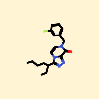 CCCCC(CC)c1nnc2c(=O)n(Cc3cccc(F)c3)ccn12